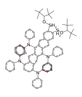 CC(C)(C)C(O[SiH2]c1cc2cc3c(N(c4ccccc4)c4ccccc4)c4cc5c(N(c6ccccc6)c6ccccc6)ccc(N(c6ccccc6)c6ccccc6)c5cc4c(N(c4ccccc4)c4ccccc4)c3cc2cc1[SiH2]OC(C(C)(C)C)C(C)(C)C)C(C)(C)C